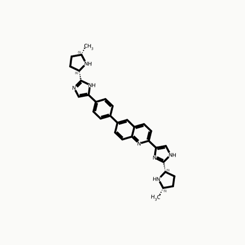 C[C@H]1CC[C@@H](c2nc(-c3ccc4cc(-c5ccc(-c6cnc([C@@H]7CC[C@H](C)N7)[nH]6)cc5)ccc4n3)c[nH]2)N1